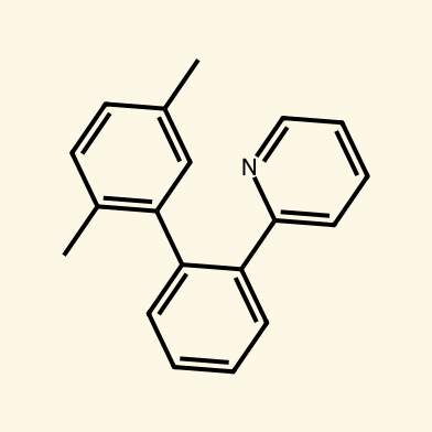 Cc1ccc(C)c(-c2ccccc2-c2ccccn2)c1